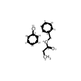 CCC(=O)OCc1ccccc1.Clc1ccccc1